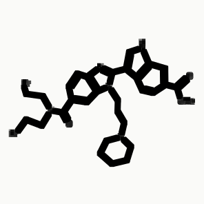 COC(=O)c1ccc2c(-c3nc4ccc(C(=O)N(CCC(C)C)CCC(C)C)cc4n3CCCN3CCCCC3)c[nH]c2c1